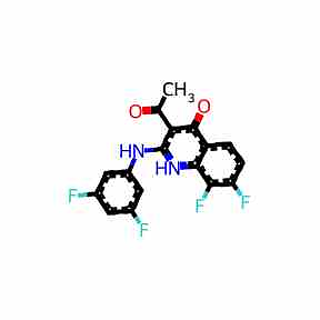 CC(=O)c1c(Nc2cc(F)cc(F)c2)[nH]c2c(F)c(F)ccc2c1=O